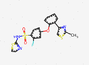 Cc1nc(-c2ccccc2Oc2ccc(S(=O)(=O)Nc3nccs3)c(F)c2)cs1